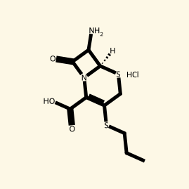 CCCSC1=C(C(=O)O)N2C(=O)C(N)[C@H]2SC1.Cl